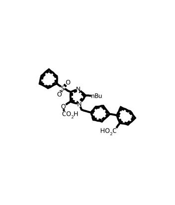 CCCCc1nc(S(=O)(=O)c2ccccc2)c(OC(=O)O)n1Cc1ccc(-c2ccccc2C(=O)O)cc1